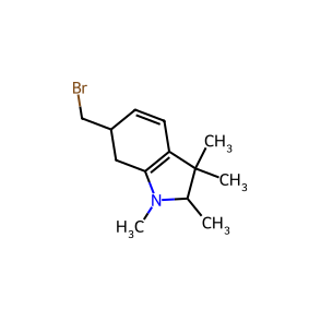 CC1N(C)C2=C(C=CC(CBr)C2)C1(C)C